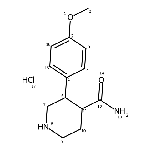 COc1ccc(C2CNCCC2C(N)=O)cc1.Cl